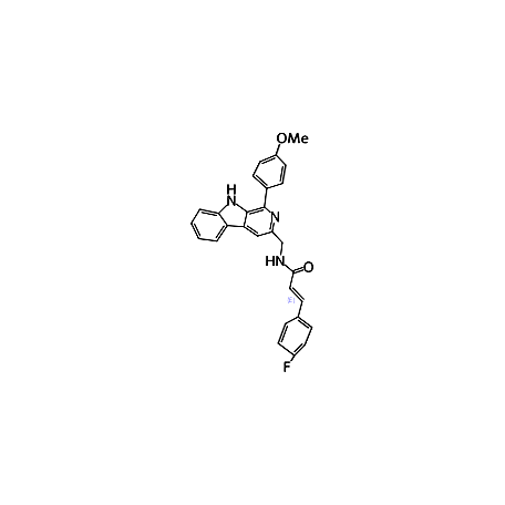 COc1ccc(-c2nc(CNC(=O)/C=C/c3ccc(F)cc3)cc3c2[nH]c2ccccc23)cc1